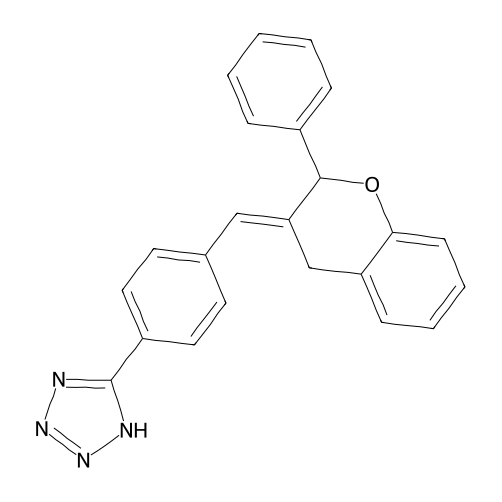 C(=C1Cc2ccccc2OC1c1ccccc1)c1ccc(-c2nnn[nH]2)cc1